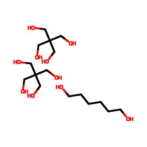 OCC(CO)(CO)CO.OCC(CO)(CO)CO.OCCCCCCO